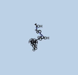 CC(C)[C@]12O[C@H]1[C@@H]1O[C@]13[C@]1(O[C@H]1C[C@H]1C4=C(CC[C@@]13C)C(=O)OC4)[C@@H]2OC(=O)CCC(=O)O[C@H]1C[C@H](O)C/C(=C/C=C2\CCC[C@@]3(C)C2CCC3[C@@H](C)/C=C/[C@@H](O)C2CC2)C1(C)C